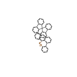 c1ccc2c(c1)Sc1cc(-c3cccc4c3C3(c5ccccc5-4)c4ccccc4-c4ccc5ccccc5c43)cc3cccc-2c13